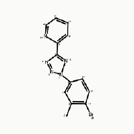 Cc1cc(-n2nnc(-c3ccccn3)n2)ccc1Br